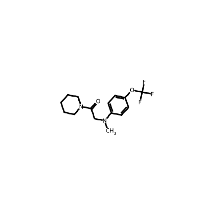 CN(CC(=O)N1CCCCC1)c1ccc(OC(F)(F)F)cc1